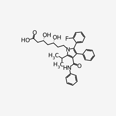 CC(C)c1c(C(=O)Nc2ccccc2)c(-c2ccccc2)c(-c2ccccc2F)n1CC[C@@H](O)C[C@@H](O)CC(=O)O